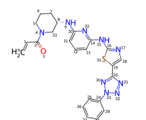 C=CC(=O)N1CCC[C@H](Nc2cccc(Nc3ncc(-c4nnn(-c5ccccc5)n4)s3)n2)C1